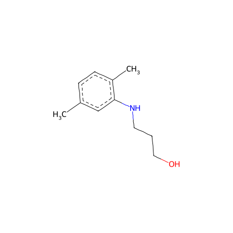 Cc1ccc(C)c(NCCCO)c1